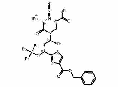 CCCC(=O)OCN(C(=O)[C@@H](N=[N+]=[N-])[C@@H](C)CC)[C@H](C[C@@H](O[Si](CC)(CC)CC)c1nc(C(=O)OCc2ccccc2)cs1)C(C)C